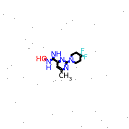 Cc1cc(C(=N)NO)nc(N2CCC(F)(F)CC2)n1